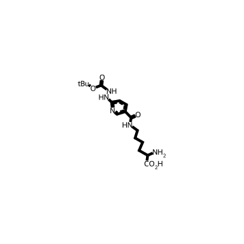 CC(C)(C)OC(=O)NNc1ccc(C(=O)NCCCCC(N)C(=O)O)cn1